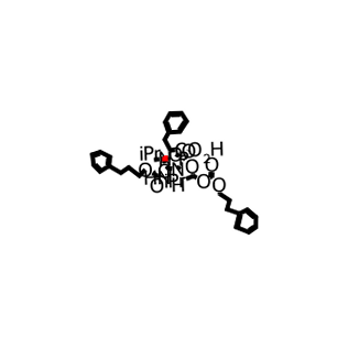 CC(C)C(OC(=O)OCCCc1ccccc1)OP(=O)(NC(=N)N(C)C(Cc1ccccc1)C(=O)O)OC(OC(=O)OCCCc1ccccc1)C(C)C